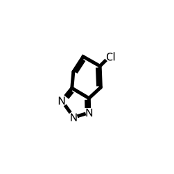 Clc1ccc2c(c1)=N[N]N=2